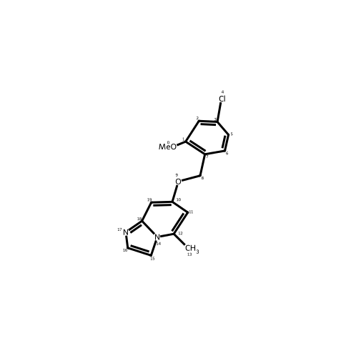 COc1cc(Cl)ccc1COc1cc(C)n2ccnc2c1